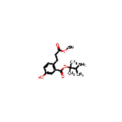 CC([SiH3])C(C)(C)OC(=O)c1cc(O)ccc1CCC(=O)OC(C)(C)C